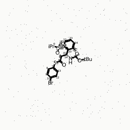 CC(C)[Si](O[C@@H](C(=O)Sc1ccc(Br)cc1)[C@@H](NC(=O)OC(C)(C)C)c1ncccc1F)(C(C)C)C(C)C